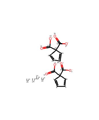 O=C([O-])C1(C(=O)[O-])C=CC=C1.O=C([O-])C1(C(=O)[O-])C=CC=C1.[Li+].[Li+].[Li+].[Li+]